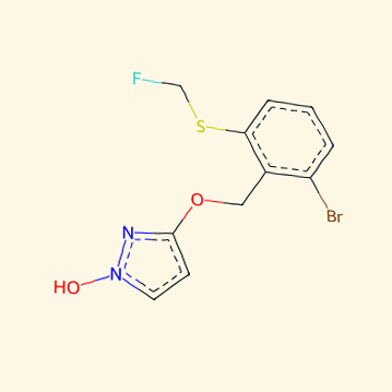 On1ccc(OCc2c(Br)cccc2SCF)n1